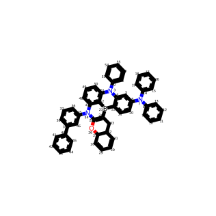 C1=C=C(N2c3cc(N(c4ccccc4)c4ccccc4)ccc3B3C4=C(OC5C=CC=CC5C4)N(c4cccc(-c5ccccc5)c4)c4cccc2c43)C=CC=1